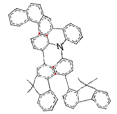 CC1(C)c2ccccc2-c2ccc(-c3ccccc3N(c3ccc(-c4cccc5c4C(C)(C)c4ccccc4-5)cc3)c3ccccc3-c3ccc4c(ccc5ccccc54)c3)cc21